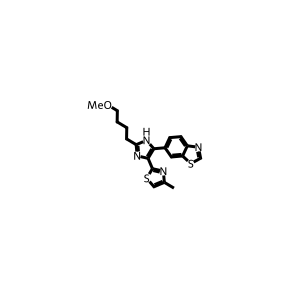 COCCCCc1nc(-c2nc(C)cs2)c(-c2ccc3ncsc3c2)[nH]1